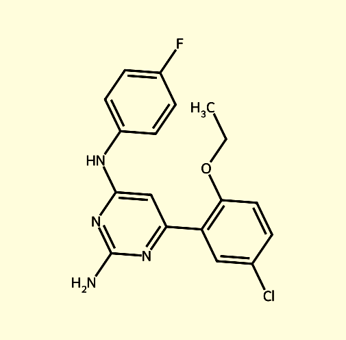 CCOc1ccc(Cl)cc1-c1cc(Nc2ccc(F)cc2)nc(N)n1